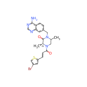 CC1CN(C(=O)C=Cc2cc(Br)cs2)[C@@H](C)C(=O)N1Cc1ccc2c(N)ncnc2c1